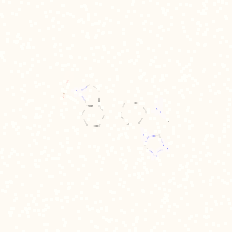 Cc1nnc2n1-c1c(cc(F)c(-c3cc(F)cc4c3ccn4S(C)(=O)=O)c1F)NC2(C)C